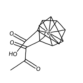 CC(=O)C(=O)[C]12[CH]3[CH]4[CH]5[CH]1[Fe]45321678[CH]2[CH]1[CH]6[C]7(C(=O)O)[CH]28